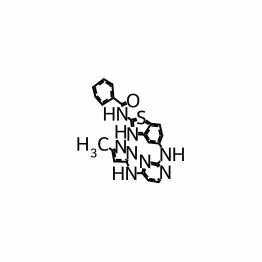 Cc1cc(Nc2ccnc(Nc3ccc4sc(NC(=O)c5ccccc5)nc4c3)n2)n[nH]1